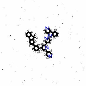 CC1(C)c2ccccc2-c2ccc(-c3cccc(-c4cc(-c5ccncc5)nc(-c5ccc(-n6c7ccccc7c7cnccc76)nc5)c4)c3)cc21